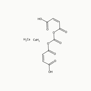 O=C(O)/C=C\C(=O)OC(=O)OC(=O)/C=C\C(=O)O.[CaH2].[CaH2]